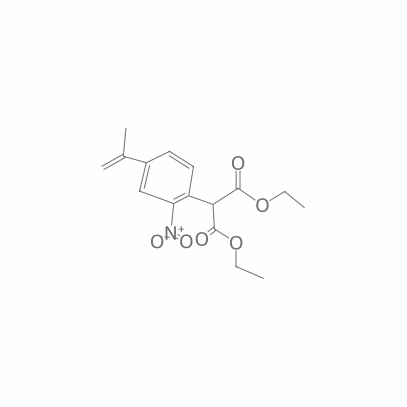 C=C(C)c1ccc(C(C(=O)OCC)C(=O)OCC)c([N+](=O)[O-])c1